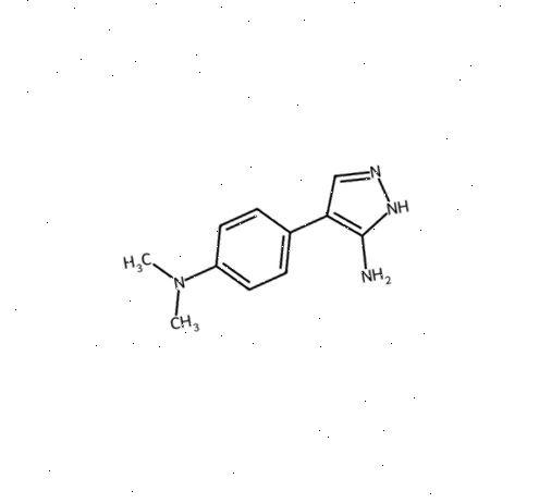 CN(C)c1ccc(-c2cn[nH]c2N)cc1